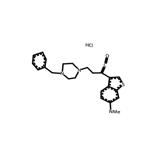 CNc1ccc2c(C(=C=O)CCN3CCN(Cc4ccccc4)CC3)csc2c1.Cl